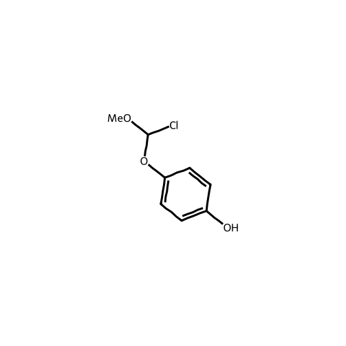 COC(Cl)Oc1ccc(O)cc1